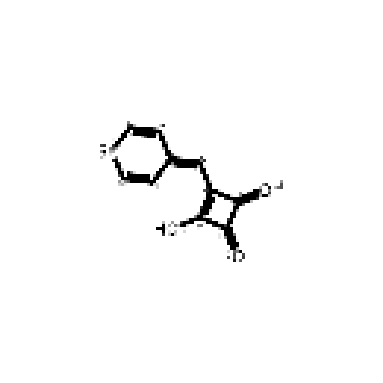 O=c1c(O)c(C=C2C=C[Se]C=C2)c1=O